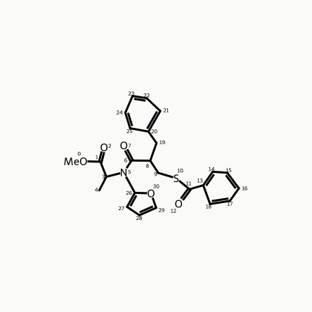 COC(=O)C(C)N(C(=O)C(CSC(=O)c1ccccc1)Cc1ccccc1)c1ccco1